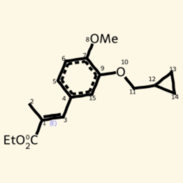 CCOC(=O)/C(C)=C/c1ccc(OC)c(OCC2CC2)c1